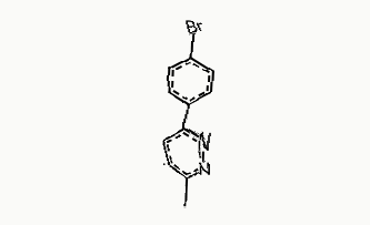 Cc1[c]cc(-c2ccc(Br)cc2)nn1